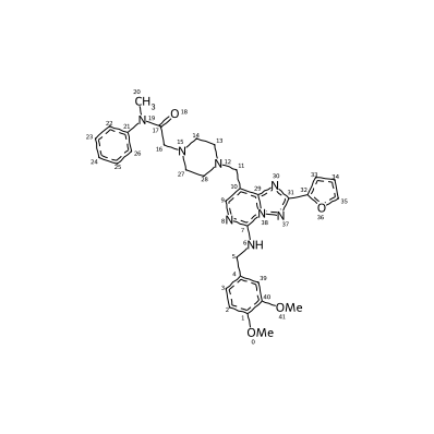 COc1ccc(CNc2ncc(CN3CCN(CC(=O)N(C)c4ccccc4)CC3)c3nc(-c4ccco4)nn23)cc1OC